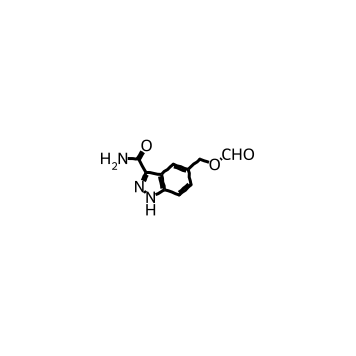 NC(=O)c1n[nH]c2ccc(COC=O)cc12